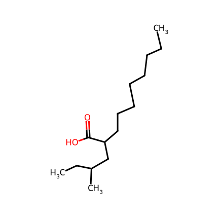 CCCCCCCCC(CC(C)CC)C(=O)O